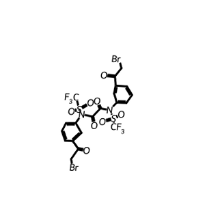 O=C(CBr)c1cccc(N(C(=O)C(=O)N(c2cccc(C(=O)CBr)c2)S(=O)(=O)C(F)(F)F)S(=O)(=O)C(F)(F)F)c1